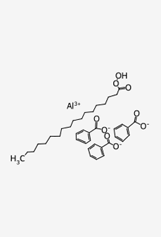 CCCCCCCCCCCCCCCCCC(=O)OO.O=C([O-])c1ccccc1.O=C([O-])c1ccccc1.O=C([O-])c1ccccc1.[Al+3]